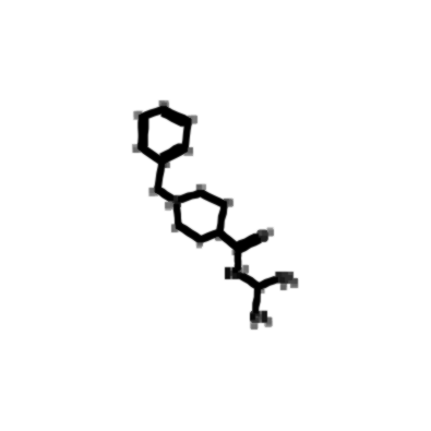 CC(N)NC(=O)C1CCN(Cc2ccccc2)CC1